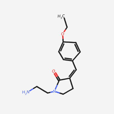 CCOc1ccc(C=C2CCN(CCN)C2=O)cc1